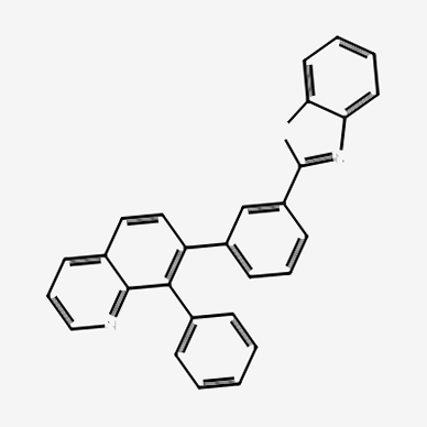 c1ccc(-c2c(-c3cccc(-c4nc5ccccc5o4)c3)ccc3cccnc23)cc1